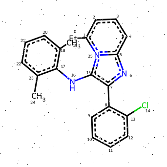 CCc1cccc2nc(-c3ccccc3Cl)c(Nc3c(C)cccc3C)n12